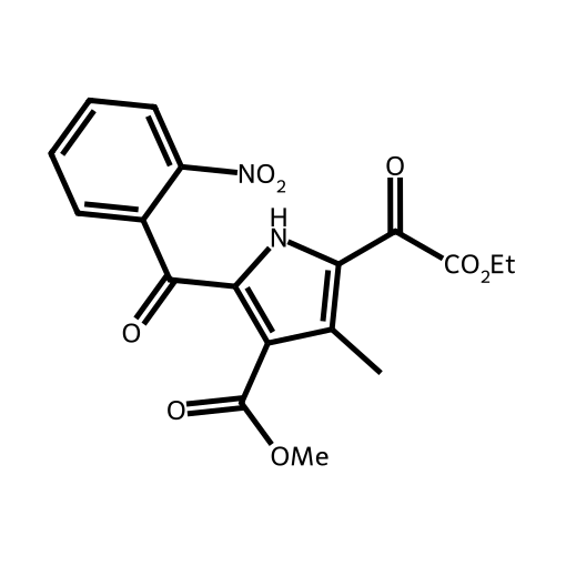 CCOC(=O)C(=O)c1[nH]c(C(=O)c2ccccc2[N+](=O)[O-])c(C(=O)OC)c1C